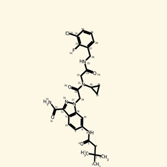 CC(C)(C)CC(=O)Nc1ccc2c(C(N)=O)nn(CC(=O)N(CC(=O)NCc3cccc(Cl)c3F)C3CC3)c2c1